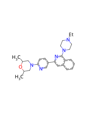 CCN1CCN(c2nc(-c3ccc(N4CC(C)OC(C)C4)nc3)cc3ccccc23)CC1